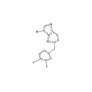 Fc1ccc(Cc2ccc3ncc(Br)n3n2)cc1F